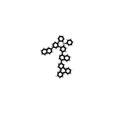 c1ccc(N2c3ccccc3-c3ccc(-c4ccc5ccccc5c4)cc3-c3cc(-c4ccc(-c5ccc6c7ccccc7c7ccccc7c6c5)c5ccccc45)ccc32)cc1